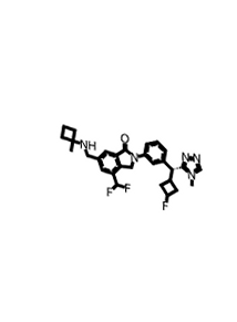 Cn1cnnc1[C@@H](c1cccc(N2Cc3c(cc(CNC4(C)CCC4)cc3C(F)F)C2=O)c1)C1CC(F)C1